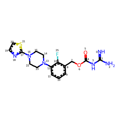 N=C(N)NC(=O)OCc1cccc(N2CCN(c3nccs3)CC2)c1F